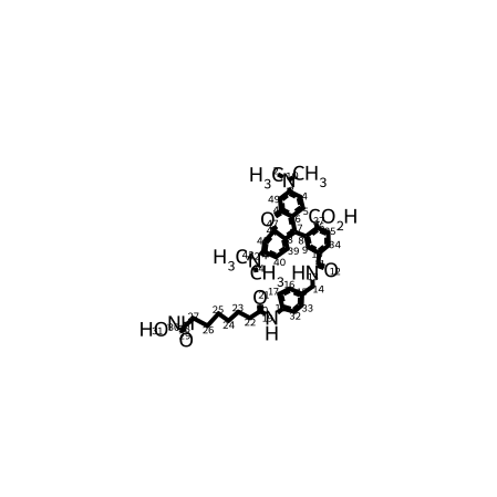 CN(C)c1ccc2c(-c3cc(C(=O)NCc4ccc(NC(=O)CCCCCCC(=O)NO)cc4)ccc3C(=O)O)c3ccc(=[N+](C)C)cc-3oc2c1